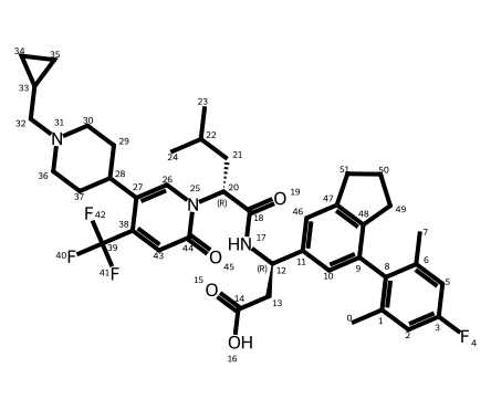 Cc1cc(F)cc(C)c1-c1cc([C@@H](CC(=O)O)NC(=O)[C@@H](CC(C)C)n2cc(C3CCN(CC4CC4)CC3)c(C(F)(F)F)cc2=O)cc2c1CCC2